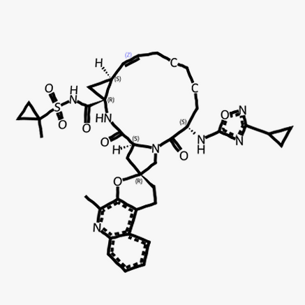 Cc1nc2ccccc2c2c1O[C@]1(CC2)C[C@H]2C(=O)N[C@]3(C(=O)NS(=O)(=O)C4(C)CC4)C[C@H]3/C=C\CCCCC[C@H](Nc3nc(C4CC4)no3)C(=O)N2C1